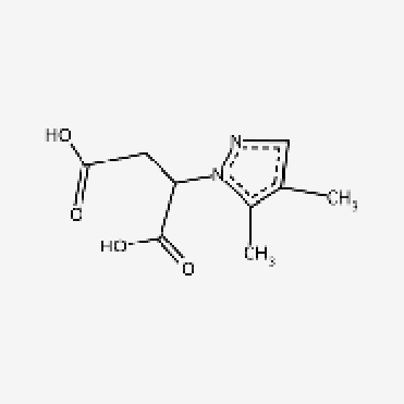 Cc1cnn(C(CC(=O)O)C(=O)O)c1C